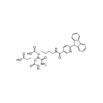 NC(=O)N([C@@H](CCCCNC(=O)c1ccc(C2c3ccccc3-c3ccccc32)nc1)C(=O)O)[C@@H](CCC(=O)O)C(=O)O